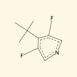 CC(C)(C)c1c(F)cncc1F